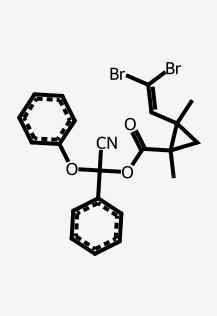 CC1(C=C(Br)Br)CC1(C)C(=O)OC(C#N)(Oc1ccccc1)c1ccccc1